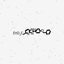 CCOC(=O)Cc1ccc2[nH]c(-c3ccc(OCc4ccccc4)cc3)nc2n1